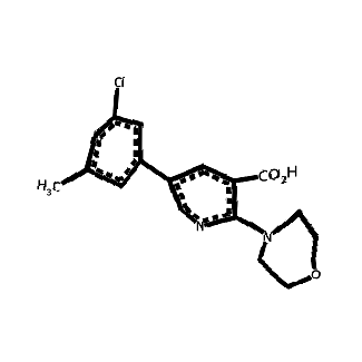 Cc1cc(Cl)cc(-c2cnc(N3CCOCC3)c(C(=O)O)c2)c1